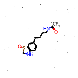 O=C(NCCCCc1ccc2c(c1)[S+]([O-])CN2)C(F)(F)F